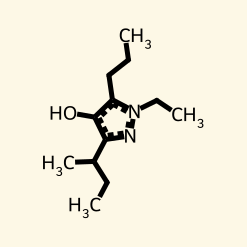 CCCc1c(O)c(C(C)CC)nn1CC